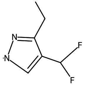 CCC1=N[N]C=C1C(F)F